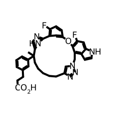 CC1(c2cccc(CCC(=O)O)c2)CCCCCc2cn(nn2)Cc2c(c(F)cc3[nH]ccc23)Oc2ccc(F)c(c2)-c2ncc1[nH]2